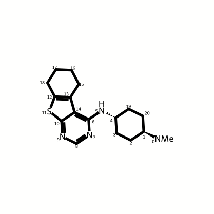 CN[C@H]1CC[C@H](Nc2ncnc3sc4c(c23)CCCC4)CC1